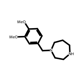 COc1ccc(CN2CCCNCC2)cc1OC